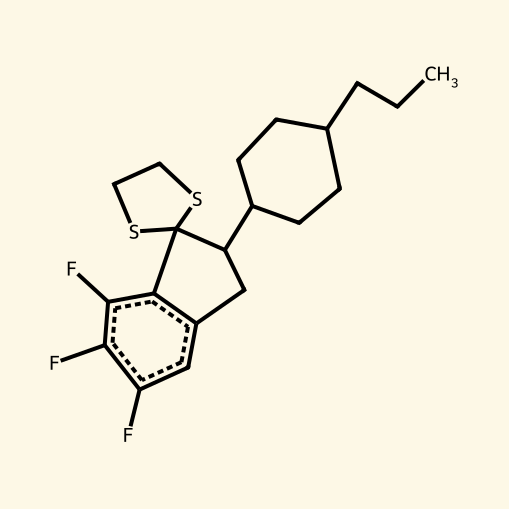 CCCC1CCC(C2Cc3cc(F)c(F)c(F)c3C23SCCS3)CC1